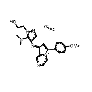 CC(=O)[O-].COc1ccc(C2=C/C(=N\c3cnn(CCO)c3N(C)C)c3cncc[n+]32)cc1